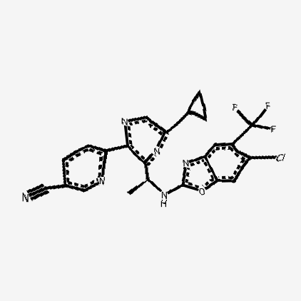 C[C@H](Nc1nc2cc(C(F)(F)F)c(Cl)cc2o1)c1nc(C2CC2)cnc1-c1ccc(C#N)cn1